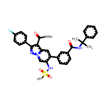 CCCS(=O)(=O)Nc1cn2nc(-c3ccc(F)cc3)c(C(=O)NC)c2cc1-c1cccc(C(=O)NC(C)(C)c2ccccc2)c1